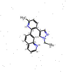 Cc1ccc(-c2cnn(CC(C)(C)C)c2)c(-c2ccc3cccnc3c2)n1